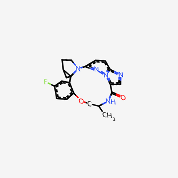 CC1COc2ccc(F)cc2C23CC2CCN3c2ccc3ncc(n3n2)C(=O)N1